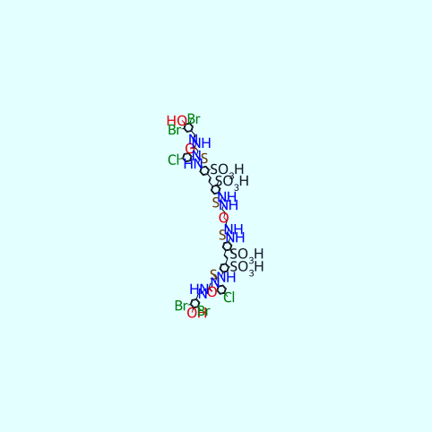 O=C(CN(C(=S)Nc1ccc(/C=C/c2ccc(NC(=S)NCCOCCNC(=S)Nc3ccc(/C=C/c4ccc(NC(=S)N(CC(=O)N/N=C/c5cc(Br)c(O)c(Br)c5)c5ccc(Cl)cc5)cc4S(=O)(=O)O)c(S(=O)(=O)O)c3)cc2S(=O)(=O)O)c(S(=O)(=O)O)c1)c1ccc(Cl)cc1)N/N=C/c1cc(Br)c(O)c(Br)c1